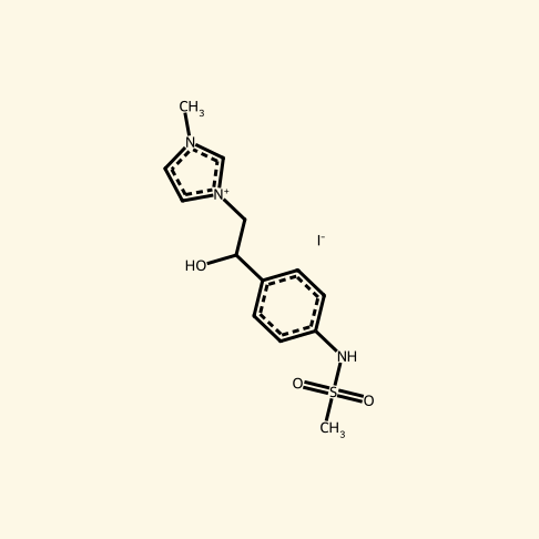 Cn1cc[n+](CC(O)c2ccc(NS(C)(=O)=O)cc2)c1.[I-]